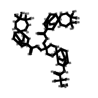 O=C(OCC1(COC(=O)C23CC4CC(C2)C2(OCC(F)(F)C(F)(F)CO2)C(C4)C3)CSC2(SC1)C1CC3CC2CC(OC(=O)C(F)(F)S(=O)(=O)O)(C3)C1)C12CC3CC(C1)C1(OCC(F)(F)C(F)(F)CO1)C(C3)C2